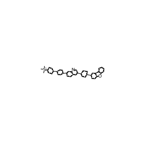 C[Si](C)(C)c1ccc(-c2ccc(-c3ccc4cc(-c5ccc(-c6ccc7oc8ccccc8c7c6)cc5)cnc4c3)cc2)cc1